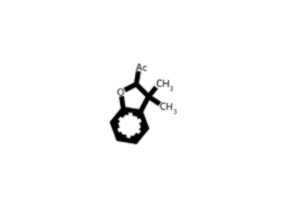 CC(=O)C1Oc2ccccc2C1(C)C